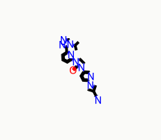 CC(C)n1cnnc1-c1cccc(N2CCN(c3ccc(N4CC(C#N)C4)nc3)C2=O)n1